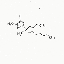 CCCCCCCC(C)(CCCC)c1cc(F)n(C)n1